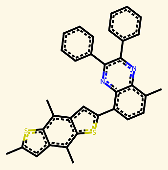 Cc1cc2c(C)c3sc(-c4ccc(C)c5nc(-c6ccccc6)c(-c6ccccc6)nc45)cc3c(C)c2s1